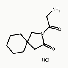 Cl.NCC(=O)N1CC2(CCCCC2)CC1=O